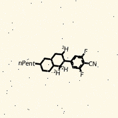 [2H]C1CC2CC(CCCCC)CCC2C([2H])([2H])C1c1cc(F)c(C#N)c(F)c1